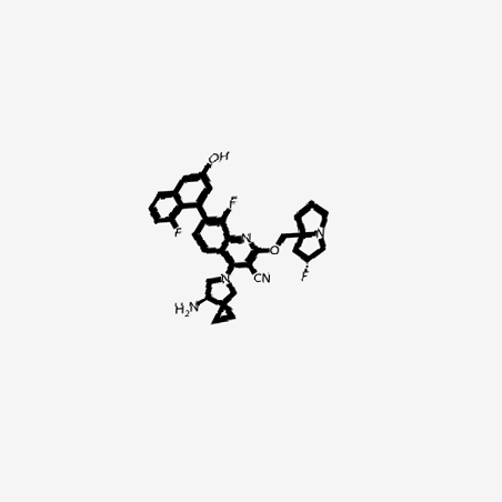 N#Cc1c(OCC23CCCN2C[C@H](F)C3)nc2c(F)c(-c3cc(O)cc4cccc(F)c34)ccc2c1N1C[C@H](N)C2(CC2)C1